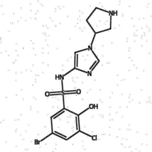 O=S(=O)(Nc1cn(C2CCNC2)cn1)c1cc(Br)cc(Cl)c1O